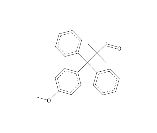 COc1ccc(C(c2ccccc2)(c2ccccc2)C(C)(C)[C]=O)cc1